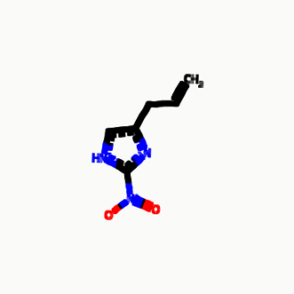 C=CCc1c[nH]c([N+](=O)[O-])n1